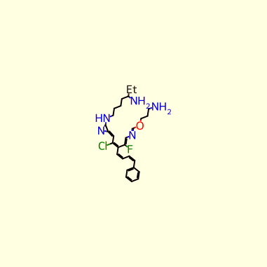 CCC(N)CCCCNC1=NC\1=C/C(Cl)=C(/C=C\C=C/c1ccccc1)C(\F)=C\N=C\OCCCN